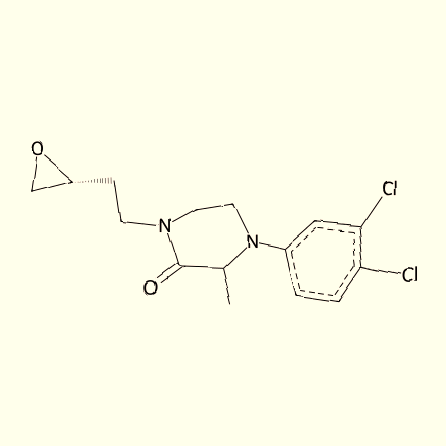 CC1C(=O)N(CC[C@@H]2CO2)CCN1c1ccc(Cl)c(Cl)c1